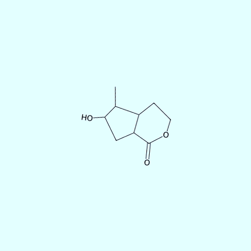 CC1C(O)CC2C(=O)OCCC21